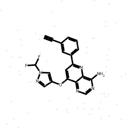 C#Cc1cccc(-c2cc(Oc3cnn(C(F)F)c3)c3ncnc(N)c3n2)c1